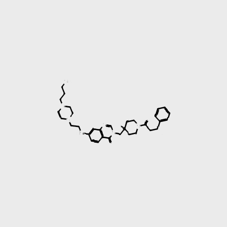 C[C@H](CC(=O)N1CCC(O)(Cn2cnc3cc(NCCN4CCN(CCCN)CC4)ccc3c2=O)CC1)c1ccccc1